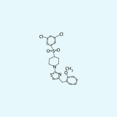 COc1ccccc1Cc1csc(N2CCC(S(=O)(=O)c3cc(Cl)cc(Cl)c3)CC2)n1